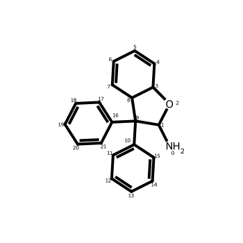 NC1OC2C=CC=CC2C1(c1ccccc1)c1ccccc1